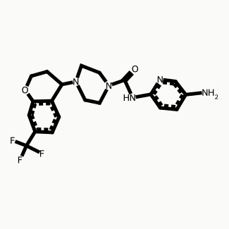 Nc1ccc(NC(=O)N2CCN(C3CCOc4cc(C(F)(F)F)ccc43)CC2)nc1